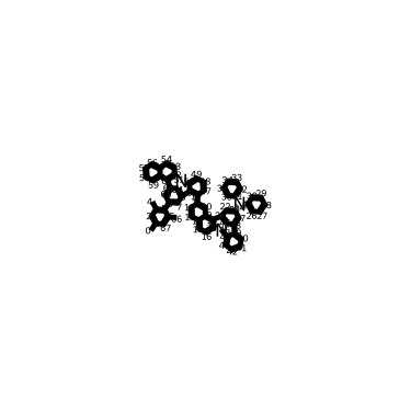 Cc1cc(C)c(-c2cc3c4c(-c5ccc6ccc7c(c6c5)c5cc(N(c6ccccc6)c6ccccc6)cc6c8ccccc8n7c65)cccc4n4c5ccc6ccccc6c5c(c2)c34)c(C)c1